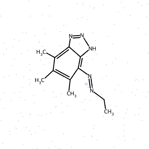 CC/N=N/c1c(C)c(C)c(C)c2nn[nH]c12